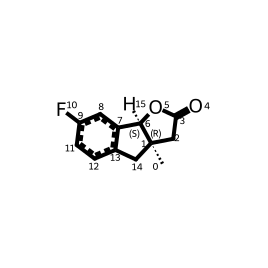 C[C@@]12CC(=O)O[C@@H]1c1cc(F)ccc1C2